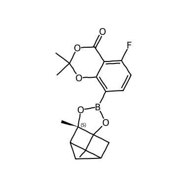 CC1(C)OC(=O)c2c(F)ccc(B3OC45CC6CC(C64C)[C@]5(C)O3)c2O1